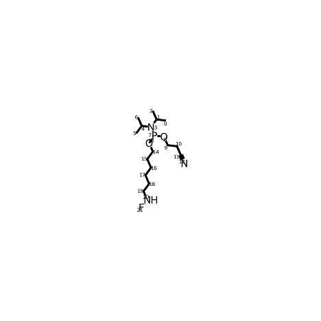 CC(C)N(C(C)C)P(OCCC#N)OCCCCCCNF